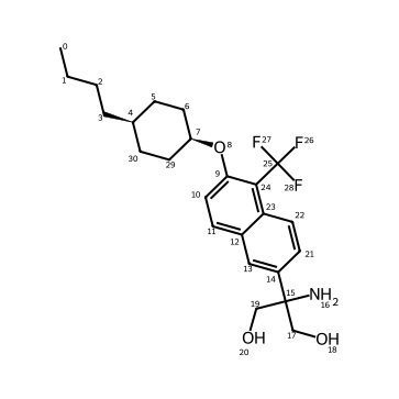 CCCC[C@H]1CC[C@@H](Oc2ccc3cc(C(N)(CO)CO)ccc3c2C(F)(F)F)CC1